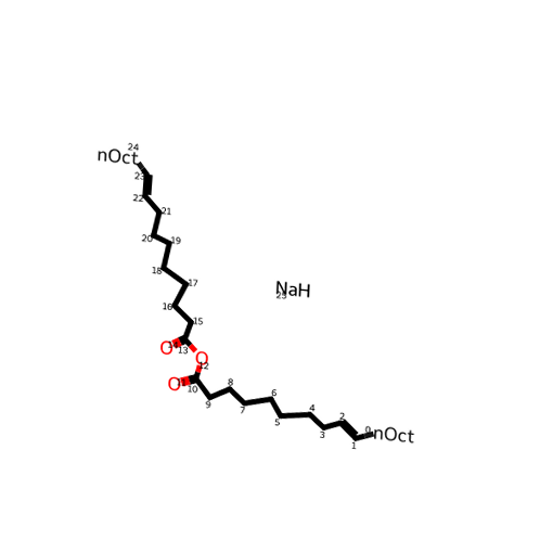 CCCCCCCCC=CCCCCCCCC(=O)OC(=O)CCCCCCCC=CCCCCCCCC.[NaH]